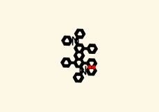 c1ccc(-c2cc(N(c3ccccc3)c3ccccc3)cc3cc4c(-c5ccccc5)cc(N(c5ccccc5)c5ccccc5)c(-c5ccccc5)c4cc23)cc1